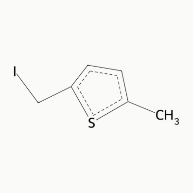 Cc1ccc(CI)s1